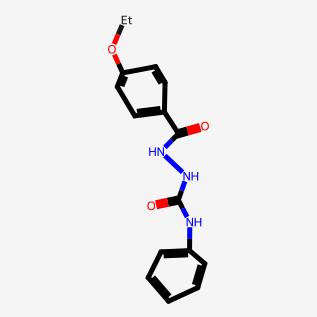 CCOc1ccc(C(=O)NNC(=O)Nc2ccccc2)cc1